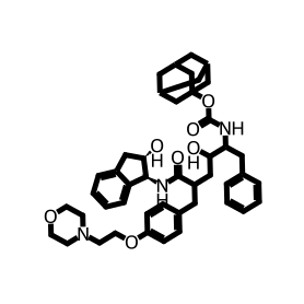 O=C(NC(Cc1ccccc1)C(O)CC(Cc1ccc(OCCN2CCOCC2)cc1)C(=O)N[C@H]1c2ccccc2C[C@@H]1O)OC12CC3CC(CC(C3)C1)C2